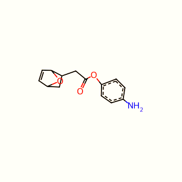 Nc1ccc(OC(=O)CC2CC3C=CC2O3)cc1